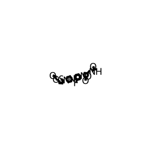 CC(=O)NCC1CN(c2ccc(N3CCN(c4ccc(OC=O)s4)CC3)c(F)c2)C(=O)O1